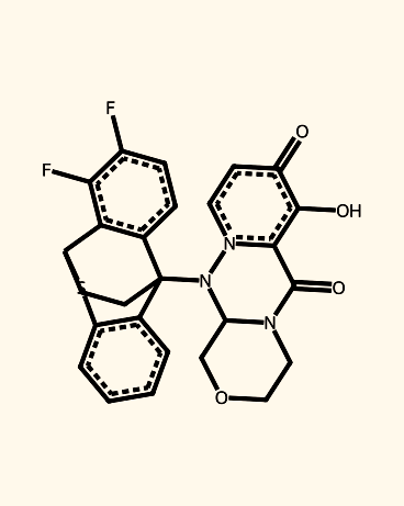 O=C1c2c(O)c(=O)ccn2N(C23CCC(Sc4ccccc42)c2c3ccc(F)c2F)C2COCCN12